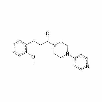 COc1ccccc1CCC(=O)N1CCN(c2ccncc2)CC1